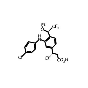 CCO[C@H](c1ccc([C@@H](CC)CC(=O)O)cc1Nc1ccc(Cl)cc1)C(F)(F)F